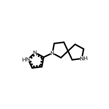 c1cc(N2CCC3(CCNC3)C2)n[nH]1